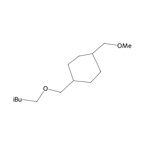 CCC(C)COCC1CCC(COC)CC1